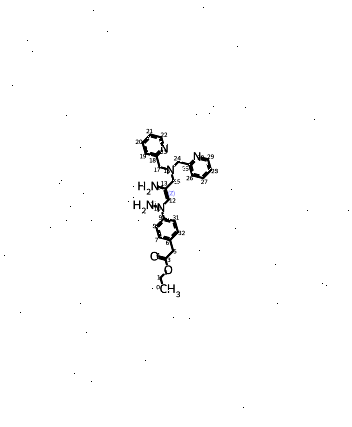 CCOC(=O)Cc1ccc(N(N)/C=C(\N)CN(Cc2ccccn2)Cc2ccccn2)cc1